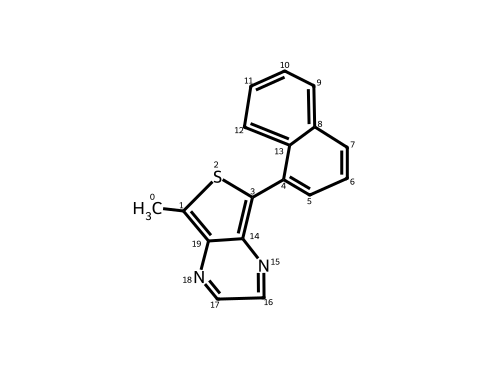 Cc1sc(-c2cccc3ccccc23)c2nccnc12